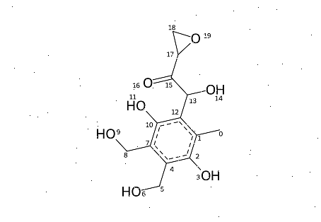 Cc1c(O)c(CO)c(CO)c(O)c1C(O)C(=O)C1CO1